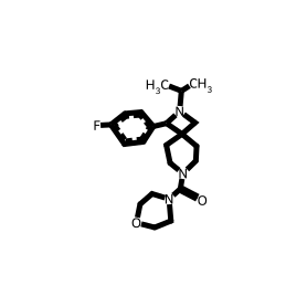 CC(C)N1CC2(CCN(C(=O)N3CCOCC3)CC2)C1c1ccc(F)cc1